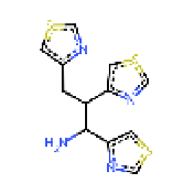 NC(c1cscn1)C(Cc1cscn1)c1cscn1